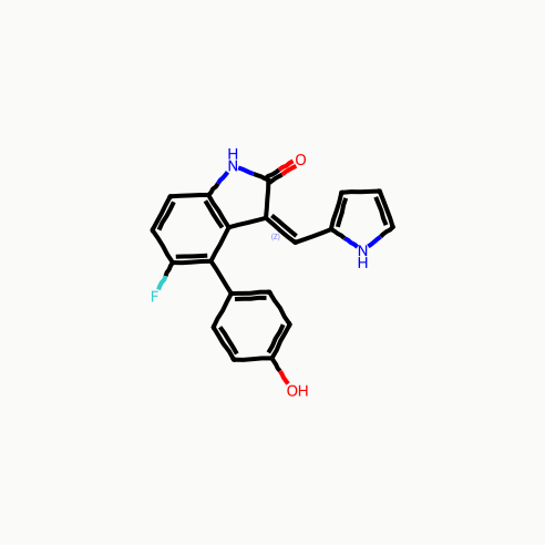 O=C1Nc2ccc(F)c(-c3ccc(O)cc3)c2/C1=C/c1ccc[nH]1